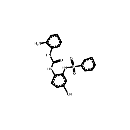 N#Cc1ccc(NC(=O)Nc2ccccc2N)c(NS(=O)(=O)c2ccccc2)c1